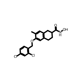 Cc1cc2c(cc1OCc1ccc(Cl)cc1Cl)CCC(C(=O)NO)C2